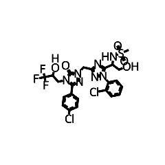 CS(=O)(=O)NC(CO)c1nc(Cn2nc(-c3ccc(Cl)cc3)n(CC(O)C(F)(F)F)c2=O)nn1-c1ccccc1Cl